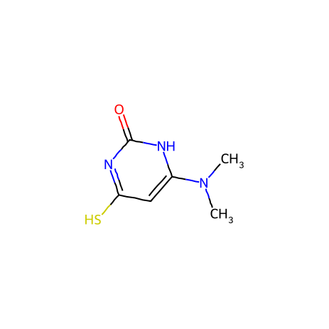 CN(C)c1cc(S)nc(=O)[nH]1